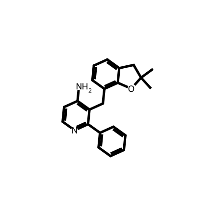 CC1(C)Cc2cccc(Cc3c(N)ccnc3-c3ccccc3)c2O1